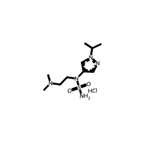 CC(C)n1cc(N(CCN(C)C)S(N)(=O)=O)cn1.Cl